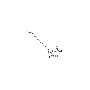 CC#CCCCCCCCCCCCOC(OCC(=O)O)C(=O)O